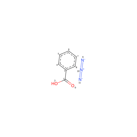 O=C(O)c1ccccc1.[N-]=[N+]=[N-]